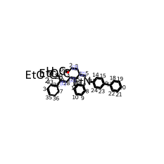 C=C\C=C/C(=C/N(c1ccccc1)c1ccc(-c2ccccc2)cc1)C(/CC)=C(/C=C(\CC(=O)OCC)C1=CC=CCC1)C(=O)OCC